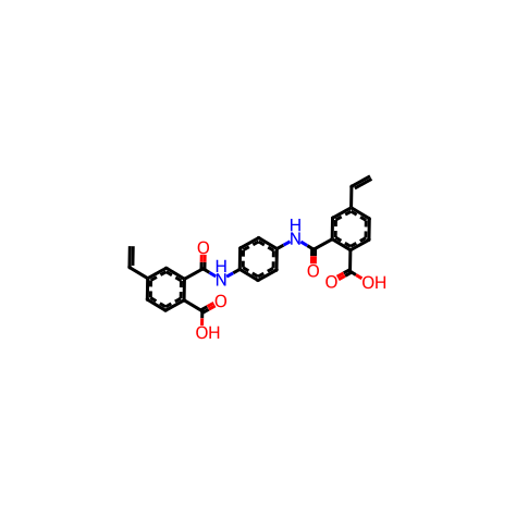 C=Cc1ccc(C(=O)O)c(C(=O)Nc2ccc(NC(=O)c3cc(C=C)ccc3C(=O)O)cc2)c1